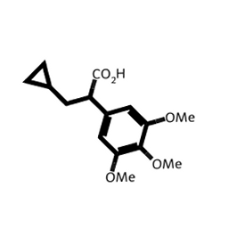 COc1cc(C(CC2CC2)C(=O)O)cc(OC)c1OC